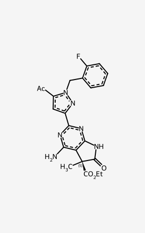 CCOC(=O)[C@]1(C)C(=O)Nc2nc(-c3cc(C(C)=O)n(Cc4ccccc4F)n3)nc(N)c21